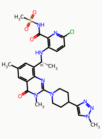 Cc1cc([C@@H](C)Nc2ccc(Cl)nc2C(=O)NS(C)(=O)=O)c2nc(N3CCC(c4cn(C)nn4)CC3)n(C)c(=O)c2c1